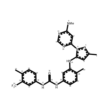 CNc1cc(-n2nc(C)cc2Nc2cc(NC(=O)Nc3ccc(C)c(C(F)(F)F)c3)ccc2C)ncn1